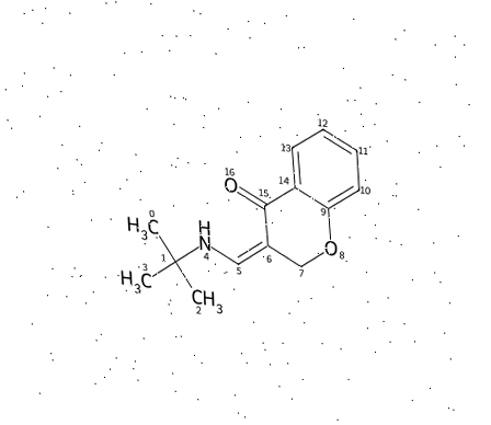 CC(C)(C)NC=C1COc2ccccc2C1=O